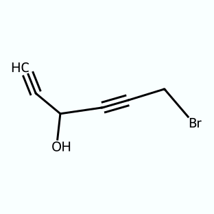 C#CC(O)C#CCBr